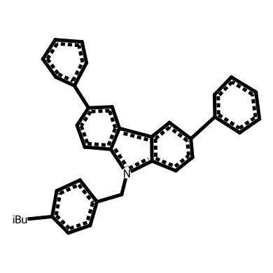 CCC(C)c1ccc(Cn2c3ccc(-c4ccccc4)cc3c3cc(-c4ccccc4)ccc32)cc1